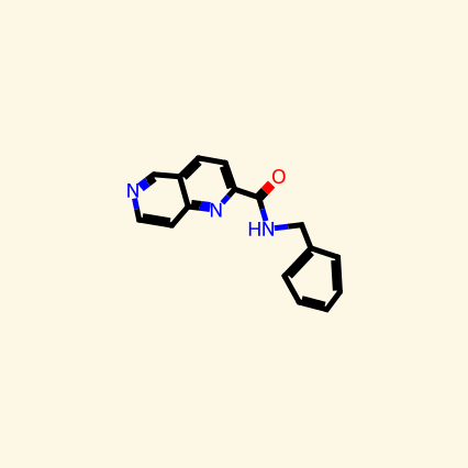 O=C(NCc1ccccc1)c1ccc2cnccc2n1